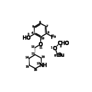 CC(C)(C)OC=O.Oc1cccc(F)c1OC[C@H]1CCCNC1